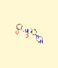 COc1ccccc1[C@@H](C)NC(=O)c1cc(N2CCN(C)CC2)ccc1C